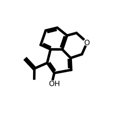 C=C(C)c1c(O)cc2c3c(cccc13)COC2